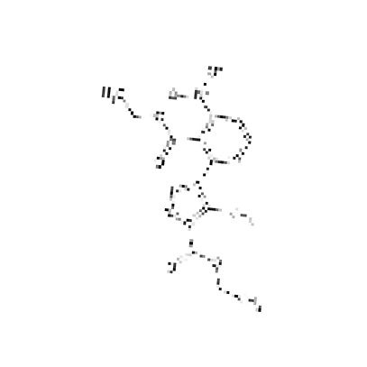 CCOC(=O)c1ncn(-c2cccc([N+](=O)[O-])c2C(=O)OCC)c1C